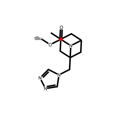 CC1CC2CC(Cn3cnnc3)(C1)N2C(=O)OC(C)(C)C